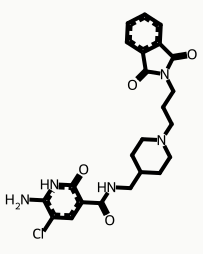 Nc1[nH]c(=O)c(C(=O)NCC2CCN(CCCN3C(=O)c4ccccc4C3=O)CC2)cc1Cl